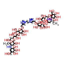 CC[C@H](/C=C(/O)[C@H](O)O[C@H](CCO)/C(O)=C(/O)[C@H](O)O[C@H](CCO)/C(O)=C(/O)[C@@H](O)OCc1cn(CCn2cc(CO[C@H]3OC(CO)[C@H](O[C@H](O)/C(O)=C(\O)[C@H](CCO)O[C@@H]4OC(C)[C@H](N[C@H]5C=C(CO)[C@@H](O)[C@@H](O)[C@@H]5O)CC4O)C(O)C3O)nn2)nn1)N[C@@H]1C=C(CO)[C@@H](O)[C@H](O)[C@H]1O